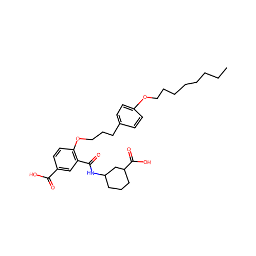 CCCCCCCCOc1ccc(CCCOc2ccc(C(=O)O)cc2C(=O)NC2CCCC(C(=O)O)C2)cc1